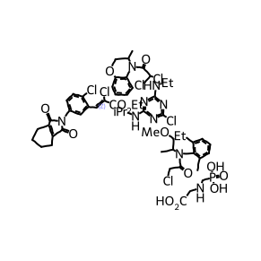 CC1COc2ccccc2N1C(=O)C(Cl)Cl.CCNc1nc(Cl)nc(NC(C)C)n1.CCOC(=O)/C(Cl)=C/c1cc(N2C(=O)C3=C(CCCC3)C2=O)ccc1Cl.CCc1cccc(C)c1N(C(=O)CCl)C(C)COC.O=C(O)CNCP(=O)(O)O